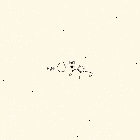 Cl.NC1CCC(NC(=O)c2noc(C3CC3)c2I)CC1